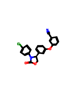 N#Cc1cccc(Oc2cccc([C@H]3COC(=O)N3c3ccc(Cl)cc3)c2)c1